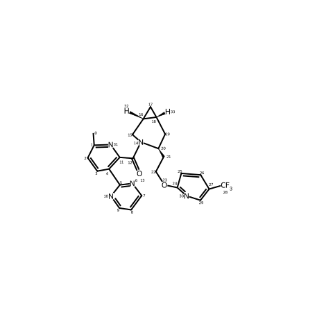 Cc1ccc(-c2ncccn2)c(C(=O)N2C[C@@H]3C[C@@H]3C[C@H]2CCOc2ccc(C(F)(F)F)cn2)n1